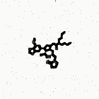 CCCCN(CCCC)C(=O)CN1C[C@H](c2cc(OC)c3c(c2)OCO3)[C@@H](C(=O)O)[C@@H]1CCCN1CCCC1=O